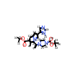 C=C(c1c(C)c(C(=O)OC(C)C)cc2cc(-c3cncn3C)cn12)N1CCN(C(=O)OC(C)(C)C)CC1